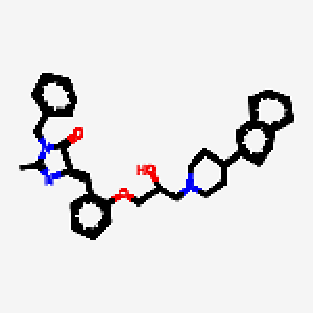 CC1=NC(=Cc2ccccc2OC[C@@H](O)CN2CCC(c3ccc4ccccc4c3)CC2)C(=O)N1Cc1ccccc1